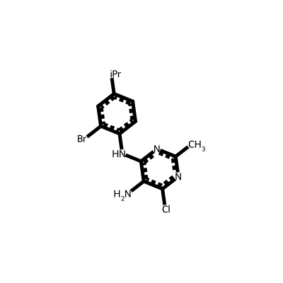 Cc1nc(Cl)c(N)c(Nc2ccc(C(C)C)cc2Br)n1